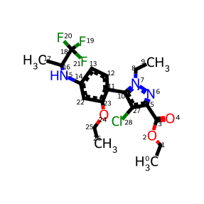 CCOC(=O)c1nn(CC)c(-c2ccc(NC(C)C(F)(F)F)cc2OCC)c1Cl